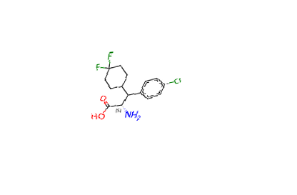 N[C@H](C(=O)O)C(c1ccc(Cl)cc1)C1CCC(F)(F)CC1